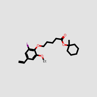 C=Cc1cc(I)c(OCCCCC(=O)OC2(C)CCCCC2)c(OCC)c1